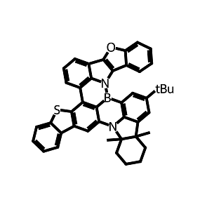 CC(C)(C)c1cc2c3c(c1)C1(C)CCCCC1(C)N3c1cc3c(sc4ccccc43)c3c1B2n1c2c-3cccc2c2oc3ccccc3c21